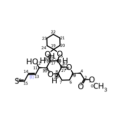 COC(=O)C[C@H]1CC[C@@H]2O[C@@H](C(O)/C=C/C=S)[C@H]3OC4(CCCCC4)O[C@H]3[C@H]2O1